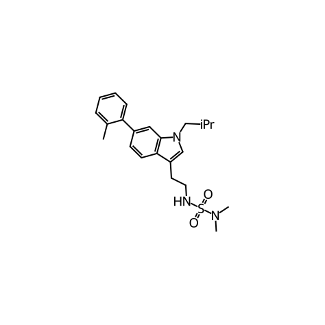 Cc1ccccc1-c1ccc2c(CCNS(=O)(=O)N(C)C)cn(CC(C)C)c2c1